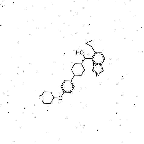 OC(c1c(C2CC2)ccc2cncn12)C1CCC(c2ccc(OC3CCOCC3)cc2)CC1